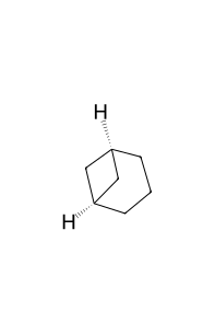 C1C[C@H]2C[C@@H](C1)C2